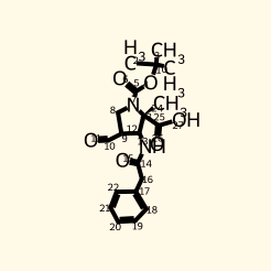 CC(C)(C)OC(=O)N1CC(C=O)C(NC(=O)Cc2ccccc2)[C@@]1(C)C(=O)O